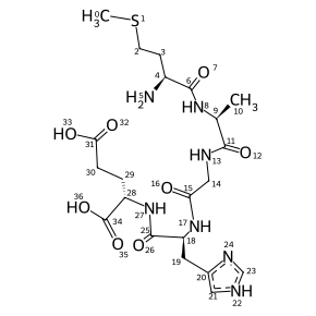 CSCC[C@H](N)C(=O)N[C@@H](C)C(=O)NCC(=O)N[C@@H](Cc1c[nH]cn1)C(=O)N[C@@H](CCC(=O)O)C(=O)O